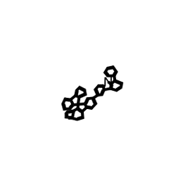 c1ccc2c(c1)-c1ccccc1C21c2cc(-c3ccc4c(c3)c3cccc5c6ccccc6n4c53)ccc2-c2ccc3ccccc3c21